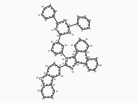 c1ccc(-c2nc(-c3ccccc3)nc(-c3cccc(-n4c(-c5ccc6oc7ccccc7c6c5)nc5c6ccccc6c6ccccc6c54)c3)n2)cc1